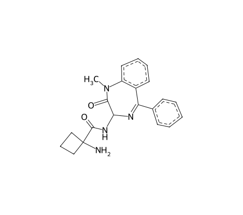 CN1C(=O)C(NC(=O)C2(N)CCC2)N=C(c2ccccc2)c2ccccc21